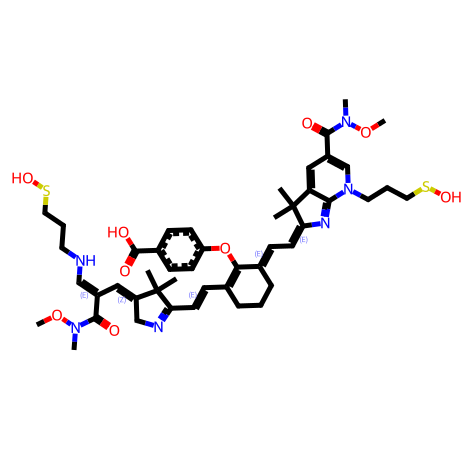 CON(C)C(=O)C1=CN(CCCSO)C2=N/C(=C/C=C3\CCCC(/C=C/C4=NC/C(=C\C(=C/NCCCSO)C(=O)N(C)OC)C4(C)C)=C3Oc3ccc(C(=O)O)cc3)C(C)(C)C2=C1